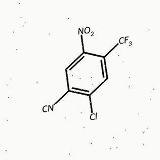 [C-]#[N+]c1cc([N+](=O)[O-])c(C(F)(F)F)cc1Cl